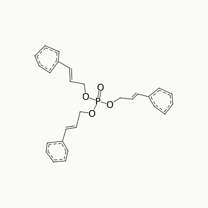 O=P(OC/C=C/c1ccccc1)(OC/C=C/c1ccccc1)OC/C=C/c1ccccc1